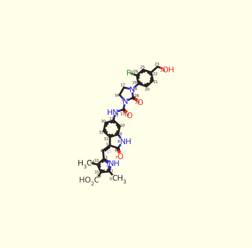 Cc1[nH]c(/C=C2\C(=O)Nc3cc(NC(=O)N4CCN(c5ccc(CO)cc5F)C4=O)ccc32)c(C)c1C(=O)O